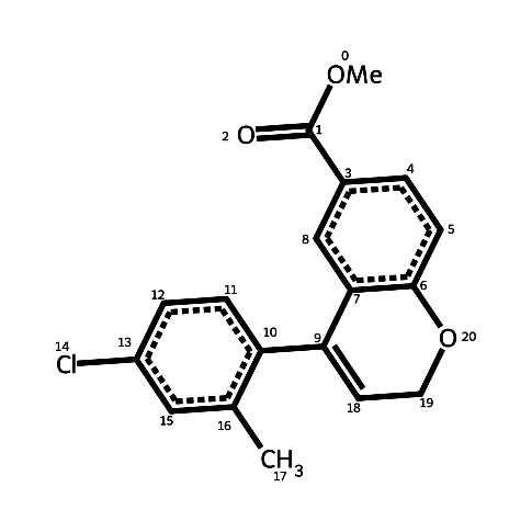 COC(=O)c1ccc2c(c1)C(c1ccc(Cl)cc1C)=CCO2